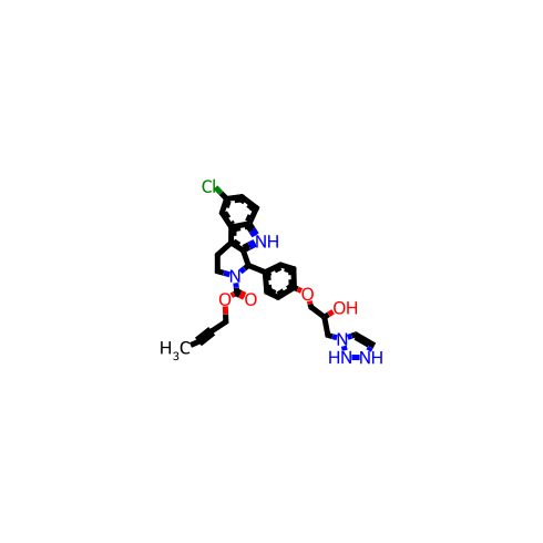 CC#CCOC(=O)N1CCc2c([nH]c3ccc(Cl)cc23)C1c1ccc(OCC(O)CN2C=CNN2)cc1